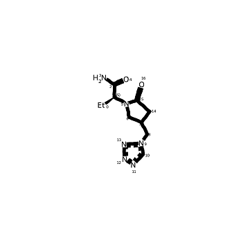 CC[C@@H](C(N)=O)N1CC(Cn2cnnn2)CC1=O